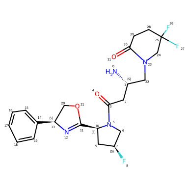 N[C@@H](CC(=O)N1C[C@@H](F)C[C@H]1C1=N[C@@H](c2ccccc2)CO1)CN1CC(F)(F)CCC1=O